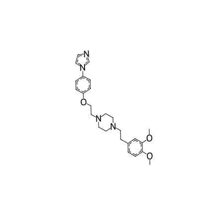 COc1ccc(CCN2CCN(CCOc3ccc(-n4ccnc4)cc3)CC2)cc1OC